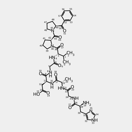 CC(C)[C@H](NC(=O)CNC(=O)[C@H](CC(=O)O)NC(=O)[C@H](C)NC(=O)CNC(=O)[C@@H](N)Cc1c[nH]cn1)C(=O)N1CCC[C@H]1C(=O)N1CCC[C@H]1C(=O)c1ccccc1